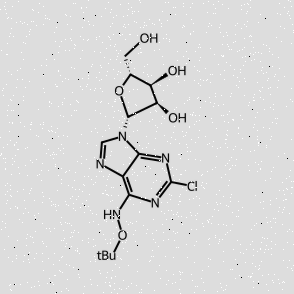 CC(C)(C)ONc1nc(Cl)nc2c1ncn2[C@@H]1O[C@H](CO)[C@@H](O)[C@H]1O